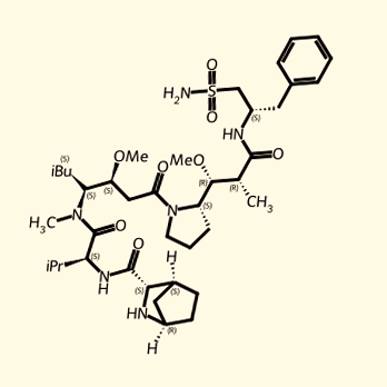 CC[C@H](C)[C@@H]([C@H](CC(=O)N1CCC[C@H]1[C@H](OC)[C@@H](C)C(=O)N[C@@H](Cc1ccccc1)CS(N)(=O)=O)OC)N(C)C(=O)[C@@H](NC(=O)[C@H]1N[C@@H]2CC[C@H]1C2)C(C)C